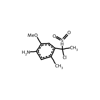 COc1cc(C(C)(Cl)[SH](=O)=O)c(C)cc1N